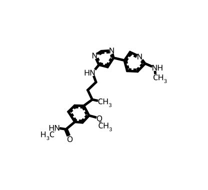 CNC(=O)c1ccc(C(C)CCNc2cc(-c3ccc(NC)nc3)ncn2)c(OC)c1